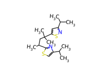 CC(C)c1cc(C(C)(C)CC(C)c2nc(C(C)C)cs2)sn1